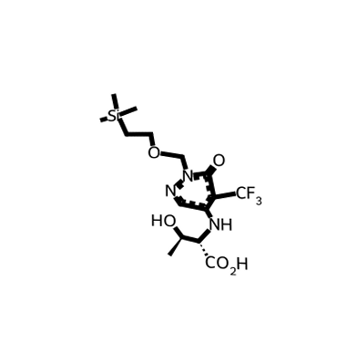 C[C@@H](O)[C@H](Nc1cnn(COCC[Si](C)(C)C)c(=O)c1C(F)(F)F)C(=O)O